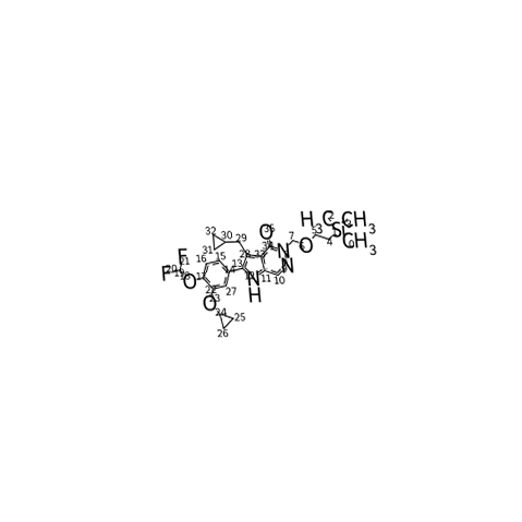 C[Si](C)(C)CCOCn1ncc2[nH]c(-c3ccc(OC(F)F)c(OC4CC4)c3)c(CC3CC3)c2c1=O